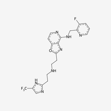 Fc1cccnc1CNc1nccc2oc(CCNCCc3ncc(C(F)(F)F)[nH]3)nc12